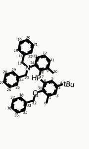 Cc1cc(C(C)(C)C)cc(Pc2c(C)cccc2N(Cc2ccccc2)Cc2ccccc2)c1OCc1ccccc1